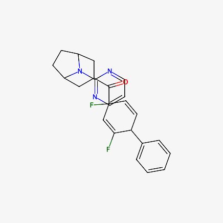 O=C(C1CC2CCC(C1)N2c1ncccn1)C1(F)C=CC(c2ccccc2)C(F)=C1